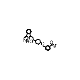 CN(C)C(=O)c1cccc(COC2CCC(C(O)CC3c4ccccc4-c4cncn43)CC2)c1